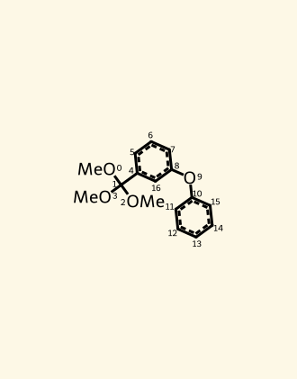 COC(OC)(OC)c1cccc(Oc2ccccc2)c1